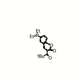 CCN(CC)c1ccc2oc(=O)c(C(=O)C(C)(C)C)cc2c1